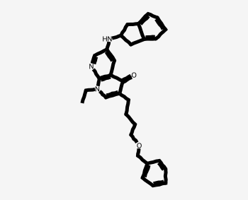 CCn1cc(CCCCOCc2ccccc2)c(=O)c2cc(NC3Cc4ccccc4C3)cnc21